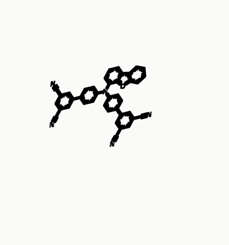 N#Cc1cc(C#N)cc(-c2ccc(N(c3ccc(-c4cc(C#N)cc(C#N)c4)cc3)c3cccc4c3oc3ccccc34)cc2)c1